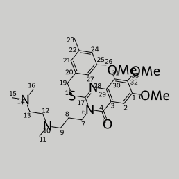 COc1cc2c(=O)n(CCCN(C)CCN(C)C)c(SCc3cc(C)cc(C)c3)nc2c(OC)c1OC